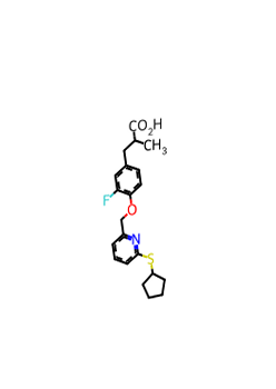 CC(Cc1ccc(OCc2cccc(SC3CCCC3)n2)c(F)c1)C(=O)O